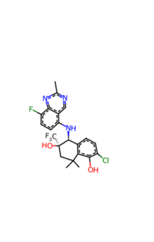 Cc1ncc2c(N[C@H]3c4ccc(Cl)c(O)c4C(C)(C)C[C@]3(O)C(F)(F)F)ccc(F)c2n1